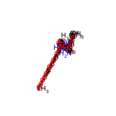 COCCOCCOCCOCCOCCOCCOCCOCCOCCOCCOCCOCCn1cc([C@H](CC(=O)N[C@H](C(=O)N[C@@H](CCCNC(N)=O)C(=O)Nc2ccc(COC(=O)C(C)(C)C)cc2)C(C)C)N2C(=O)C=CC2=O)nn1